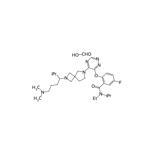 CCN(C(=O)c1cc(F)ccc1Oc1nncnc1N1CCC2(C1)CN(C(CCCN(C)C)C(C)C)C2)C(C)C.O=CO